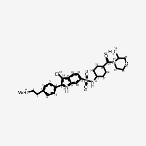 COCCc1ccc(-c2[nH]c3cc(S(=O)(=O)NC4CCC(C(=O)N5CCOCC5C)CC4)ccc3c2Cl)cc1